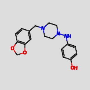 Oc1ccc(NN2CCN(Cc3ccc4c(c3)OCO4)CC2)cc1